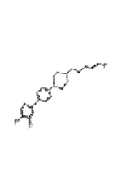 FC=CCCCC1CCC(c2ccc(-c3ccc(F)c(F)c3)cc2)CC1